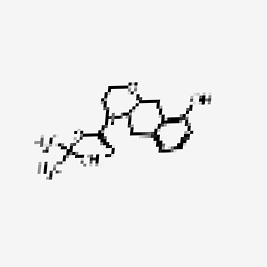 CC(C)(C)OC(=O)N1CCOC2Cc3c(O)cccc3CC21